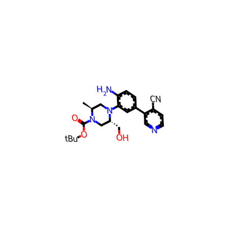 C[C@H]1CN(c2cc(-c3cnccc3C#N)ccc2N)[C@H](CO)CN1C(=O)OC(C)(C)C